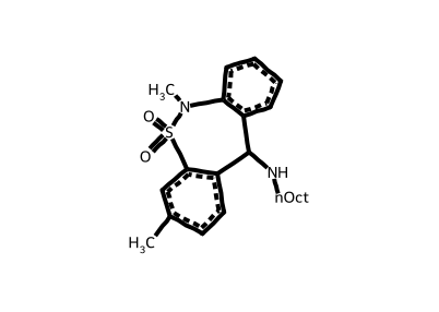 CCCCCCCCNC1c2ccccc2N(C)S(=O)(=O)c2cc(C)ccc21